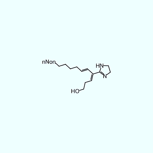 CCCCCCCCCCCCCC=CC(=CCCO)C1=NCCN1